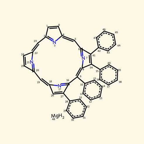 C1=CC2=NC1=CC1=NC(=C(c3ccccc3)C3=NC(=CC4=NC(=C2)C=C4)C=C3c2ccccc2)C(c2ccccc2)=C1c1ccccc1.[MgH2]